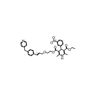 CCOC(=O)C1=C(C)NC(C)=C(C(=O)OCCOC/C=C/c2ccc(Cc3ccncc3)cc2)C1c1cccc([N+](=O)[O-])c1